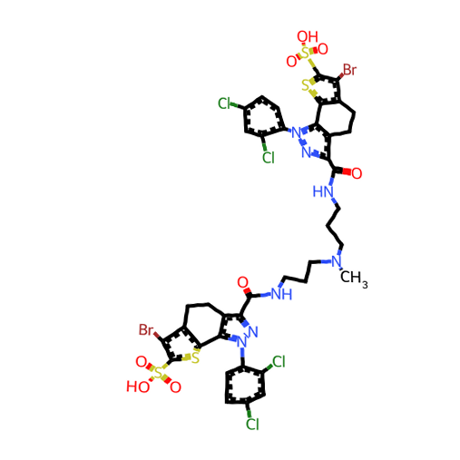 CN(CCCNC(=O)c1nn(-c2ccc(Cl)cc2Cl)c2c1CCc1c-2sc(S(=O)(=O)O)c1Br)CCCNC(=O)c1nn(-c2ccc(Cl)cc2Cl)c2c1CCc1c-2sc(S(=O)(=O)O)c1Br